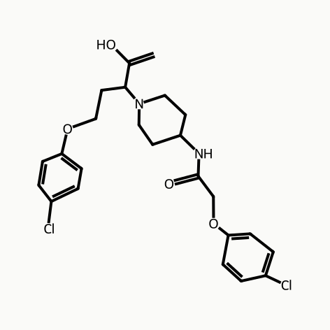 C=C(O)C(CCOc1ccc(Cl)cc1)N1CCC(NC(=O)COc2ccc(Cl)cc2)CC1